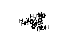 N=C(N)c1cccc(-c2ccccc2C(=O)Nc2ccc(-c3ccccc3S(N)(=O)=O)cc2)c1.O=C(O)C(F)(F)F